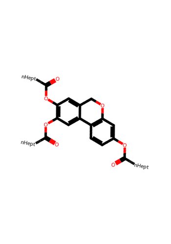 CCCCCCCC(=O)Oc1ccc2c(c1)OCc1cc(OC(=O)CCCCCCC)c(OC(=O)CCCCCCC)cc1-2